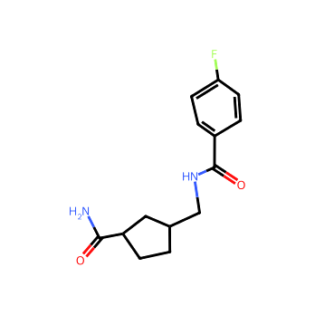 NC(=O)C1CCC(CNC(=O)c2ccc(F)cc2)C1